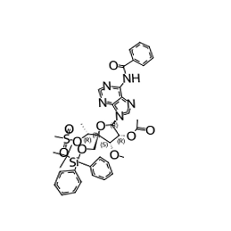 CO[C@H]1[C@@H](OC(C)=O)[C@H](n2cnc3c(NC(=O)c4ccccc4)ncnc32)O[C@@]1(CO[Si](c1ccccc1)(c1ccccc1)C(C)(C)C)[C@@H](C)OS(C)(=O)=O